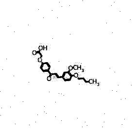 CCCCOc1ccc(/C=C/C(=O)c2ccc(OCC(=O)O)cc2)cc1OC